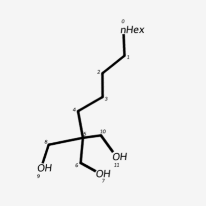 CCCCCCCCCCC(CO)(CO)CO